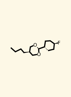 CCCC[C@H]1CO[C@H]([C@H]2CC[C@H](F)CC2)OC1